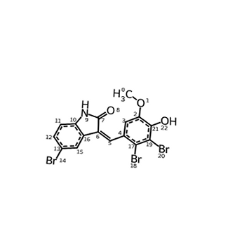 COc1cc(C=C2C(=O)Nc3ccc(Br)cc32)c(Br)c(Br)c1O